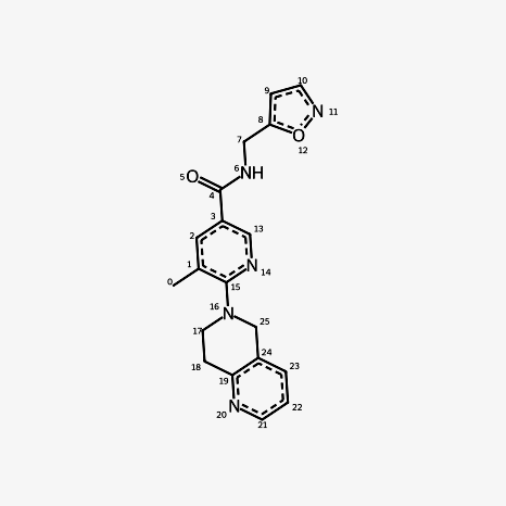 Cc1cc(C(=O)NCc2ccno2)cnc1N1CCc2ncccc2C1